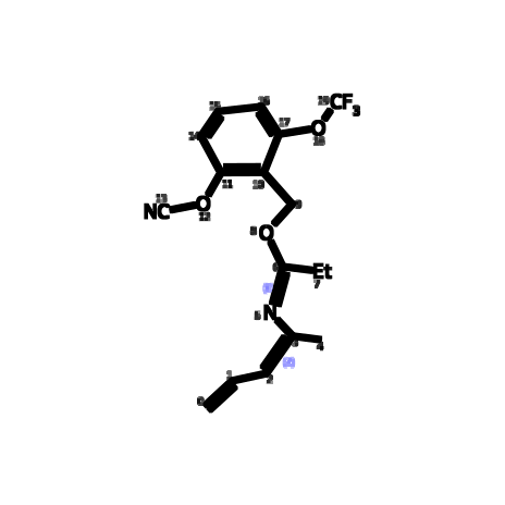 C=C/C=C(C)\N=C(/CC)OCc1c(OC#N)cccc1OC(F)(F)F